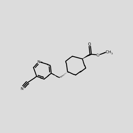 COC(=O)[C@H]1CC[C@H](Cc2cncc(C#N)c2)CC1